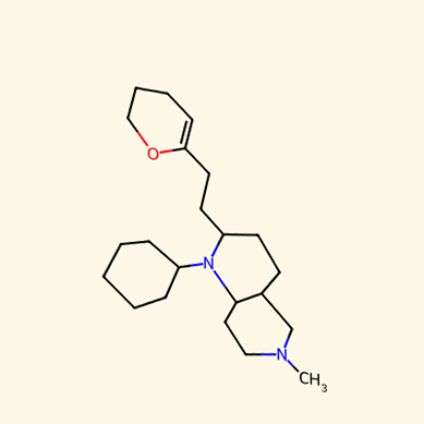 CN1CCC2C(CCC(CCC3=CCCCO3)N2C2CCCCC2)C1